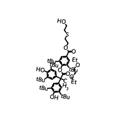 CC(C)(C)c1cc(C(C)(C(=O)Oc2c(C(C)(C)C)cc(C(=O)OCCSCCO)cc2C(C)(C)C)c2cc(C(C)(C)C)c(O)c(C(C)(C)C)c2)cc(C(C)(C)C)c1O.CCOCCOCC